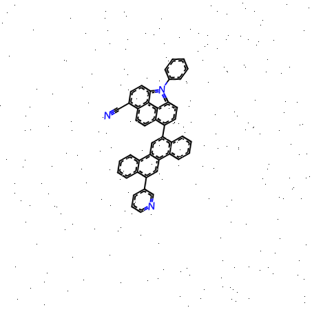 N#Cc1ccc2c3c1ccc1c(-c4cc5c6ccccc6c(-c6cccnc6)cc5c5ccccc45)ccc(c13)n2-c1ccccc1